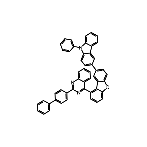 c1ccc(-c2ccc(-c3nc(-c4cccc5oc6ccc(-c7ccc8c(c7)c7ccccc7n8-c7ccccc7)cc6c45)c4ccccc4n3)cc2)cc1